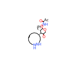 CC(=O)C(=O)NOC1OCC(=O)C([C@@H]2CCC/C=C\CCCNNCCC2)[C@@H]1CC(C)C